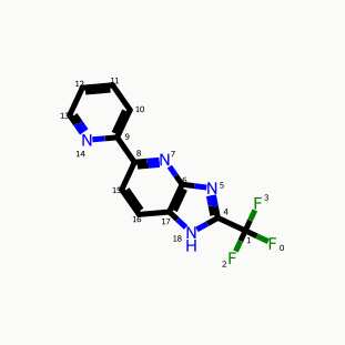 FC(F)(F)c1nc2nc(-c3ccccn3)ccc2[nH]1